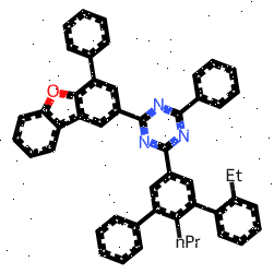 CCCc1c(-c2ccccc2)cc(-c2nc(-c3ccccc3)nc(-c3cc(-c4ccccc4)c4oc5ccccc5c4c3)n2)cc1-c1ccccc1CC